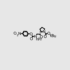 CCCN(CC(=O)[C@@H]1CCCN1C(=O)OC(C)(C)C)C(=O)Oc1ccc([N+](=O)[O-])cc1